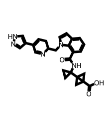 O=C(NC1(C23CC2(C(=O)O)C3)CC1)c1cccc2ccn(CC3CC=C(c4cn[nH]c4)C=N3)c12